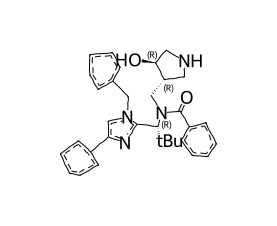 CC(C)(C)[C@H](c1nc(-c2ccccc2)cn1Cc1ccccc1)N(C[C@H]1CNC[C@@H]1O)C(=O)c1ccccc1